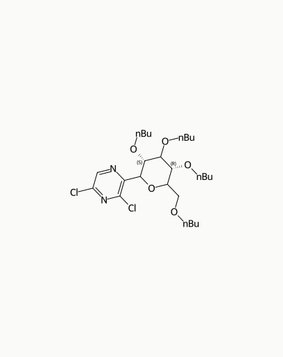 CCCCOCC1OC(c2ncc(Cl)nc2Cl)[C@H](OCCCC)C(OCCCC)[C@@H]1OCCCC